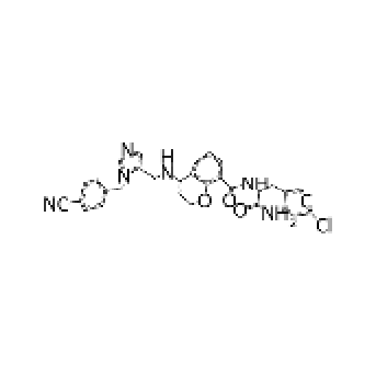 N#Cc1ccc(Cn2cncc2CNC2CCOc3c(C(=O)NC(Cc4ccc(Cl)cc4)C(N)=O)cccc32)cc1